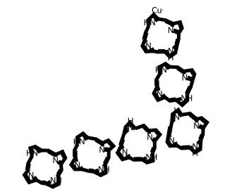 C1=Cc2cc3ccc(cc4nc(cc5ccc(cc1n2)[nH]5)C=C4)[nH]3.C1=Cc2cc3ccc(cc4nc(cc5ccc(cc1n2)[nH]5)C=C4)[nH]3.C1=Cc2cc3ccc(cc4nc(cc5ccc(cc1n2)[nH]5)C=C4)[nH]3.C1=Cc2cc3ccc(cc4nc(cc5ccc(cc1n2)[nH]5)C=C4)[nH]3.C1=Cc2cc3ccc(cc4nc(cc5ccc(cc1n2)[nH]5)C=C4)[nH]3.C1=Cc2cc3ccc(cc4nc(cc5ccc(cc1n2)[nH]5)C=C4)[nH]3.[Cu]